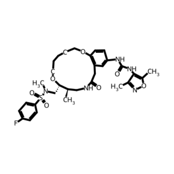 Cc1noc(C)c1NC(=O)Nc1ccc2c(c1)CC(=O)NC[C@@H](C)[C@H](CN(C)S(=O)(=O)c1ccc(F)cc1)OCCCCCO2